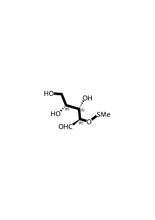 CSO[C@@H](C=O)[C@@H](O)[C@H](O)CO